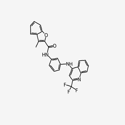 Cc1c(C(=O)Nc2cccc(Nc3cc(C(F)(F)F)nc4ccccc34)c2)oc2ccccc12